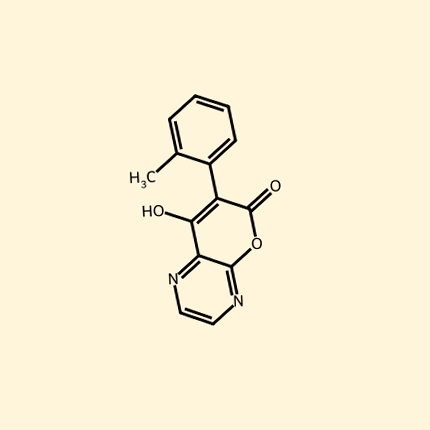 Cc1ccccc1-c1c(O)c2nccnc2oc1=O